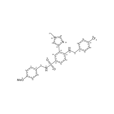 COc1ccc(CNS(=O)(=O)c2ccc(NCc3ccc(C(F)(F)F)cc3)c(-c3cn(C)cn3)c2)cc1